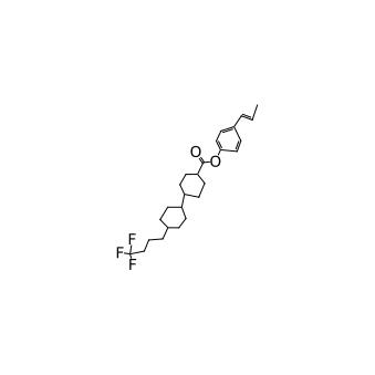 C/C=C/c1ccc(OC(=O)C2CCC(C3CCC(CCCC(F)(F)F)CC3)CC2)cc1